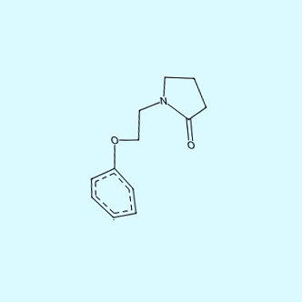 O=C1CCCN1CCOc1cc[c]cc1